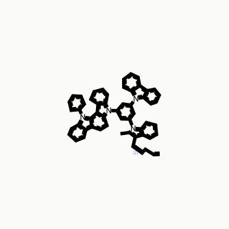 C=CC/C=C\c1c(C)n(-c2cc(-n3c4ccccc4c4ccccc43)cc(-n3c4ccccc4c4c3ccc3c5ccccc5n(-c5ccccc5)c34)c2)c2ccccc12